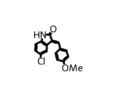 COc1ccc(/C=C2/C(=O)Nc3ccc(Cl)cc32)cc1